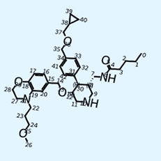 CCCCC(=O)NC[C@@H]1CNC[C@H](OCc2ccc3c(c2)N(CCCOC)CCO3)[C@H]1c1ccc(COCC2CC2)cc1